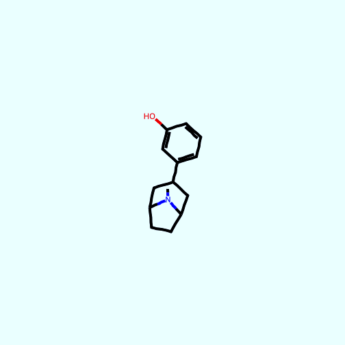 CN1C2CCC1CC(c1cccc(O)c1)C2